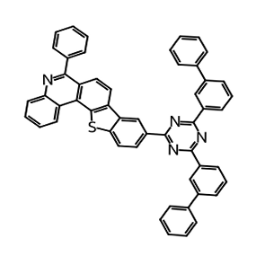 c1ccc(-c2cccc(-c3nc(-c4cccc(-c5ccccc5)c4)nc(-c4ccc5sc6c(ccc7c(-c8ccccc8)nc8ccccc8c76)c5c4)n3)c2)cc1